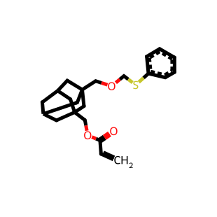 C=CC(=O)OCC12CC3CC(CC(COCSc4ccccc4)(C3)C1)C2